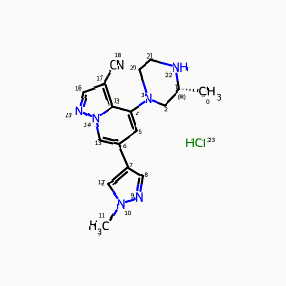 C[C@@H]1CN(c2cc(-c3cnn(C)c3)cn3ncc(C#N)c23)CCN1.Cl